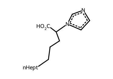 CCCCCCCCCCC(C(=O)O)n1ccnc1